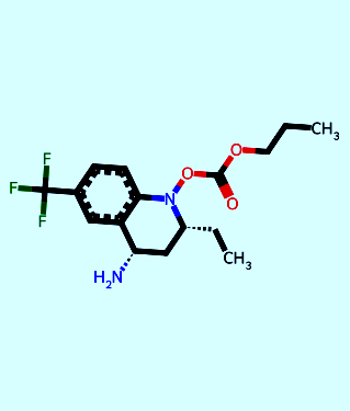 CCCOC(=O)ON1c2ccc(C(F)(F)F)cc2[C@@H](N)C[C@H]1CC